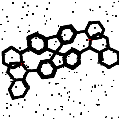 c1cc2c(cc1C1CCCCC1)C1(c3cc(C4CCCCC4)ccc3-2)c2cc(N3CCCN4CCCN=C43)ccc2-c2ccc(N3CCCN4CCCN=C43)cc21